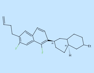 C=CCCc1cc2ccc([C@@H]3CC[C@@H]4CC(CC)CCC4C3)c(F)c2cc1F